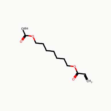 C=CC(=O)OCCCCCCCOC(=O)OC